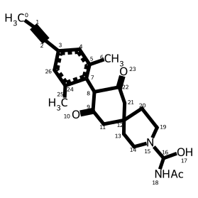 CC#Cc1cc(C)c(C2C(=O)CC3(CCN(C(O)NC(C)=O)CC3)CC2=O)c(C)c1